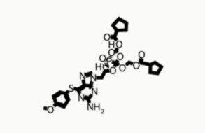 COc1ccc(Sc2nc(N)nc3c2ncn3CCOC(OCOC(=O)C2CCCC2)(OCOC(=O)C2CCCC2)P(=O)(O)O)cc1